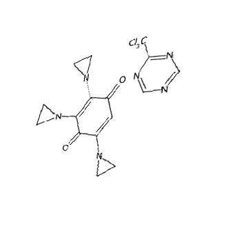 ClC(Cl)(Cl)c1ncncn1.O=C1C=C(N2CC2)C(=O)C(N2CC2)=C1N1CC1